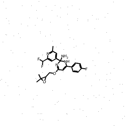 Cc1cc(C2(N)N=C(OCC3OC3(C)C)C=C(c3ccc(F)cc3)N2)cc(C(F)F)n1